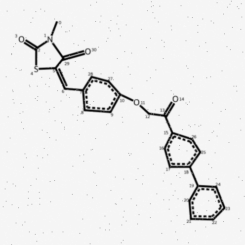 CN1C(=O)SC(=Cc2ccc(OCC(=O)c3ccc(-c4ccccc4)cc3)cc2)C1=O